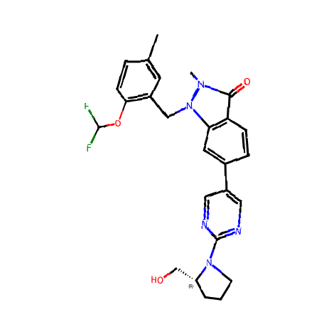 Cc1ccc(OC(F)F)c(Cn2c3cc(-c4cnc(N5CCC[C@@H]5CO)nc4)ccc3c(=O)n2C)c1